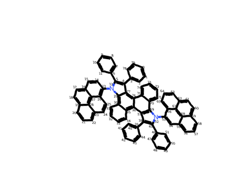 c1ccc(-c2c(-c3ccccc3)n(-c3ccc4ccc5cccc6ccc3c4c56)c3c4ccccc4c4c5c(-c6ccccc6)c(-c6ccccc6)n(-c6cc7cccc8ccc9cccc6c9c87)c5c5ccccc5c4c23)cc1